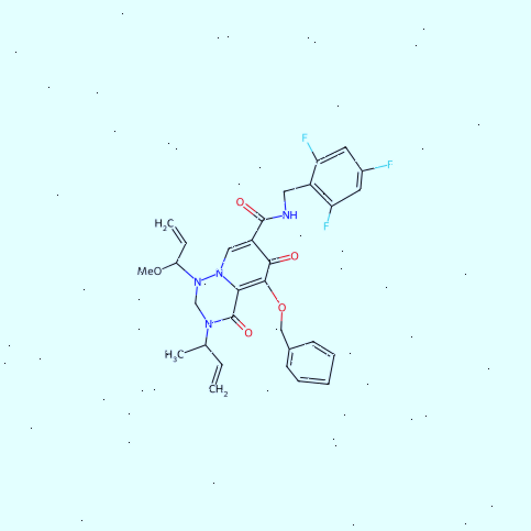 C=CC(C)N1CN(C(C=C)OC)n2cc(C(=O)NCc3c(F)cc(F)cc3F)c(=O)c(OCc3ccccc3)c2C1=O